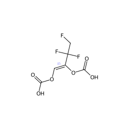 O=C(O)O/C=C(\OC(=O)O)C(F)(F)CF